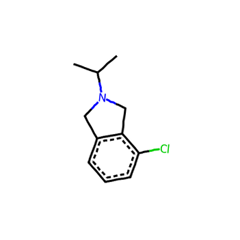 CC(C)N1Cc2cccc(Cl)c2C1